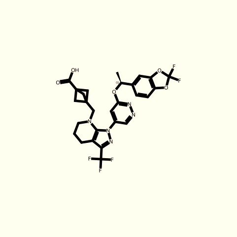 C[C@H](Oc1cc(-n2nc(C(F)(F)F)c3c2N(CC24CC(C(=O)O)(C2)C4)CCC3)cnn1)c1ccc2c(c1)OC(F)(F)O2